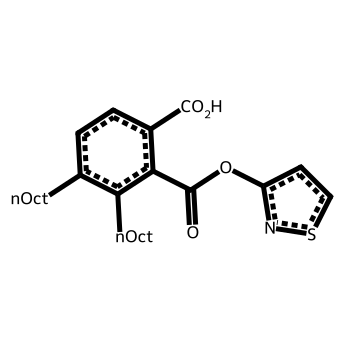 CCCCCCCCc1ccc(C(=O)O)c(C(=O)Oc2ccsn2)c1CCCCCCCC